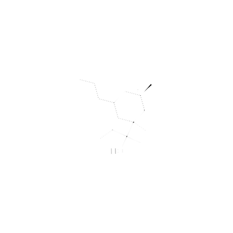 CCCC1C[C@@H](C)CC(C)(C(C)(O)CC)C1